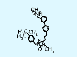 CCn1c(CCCc2ccc(-c3cccc(CNSC)c3)cc2)nn(Cc2ccc(C(C)(C)C)cc2)c1=O